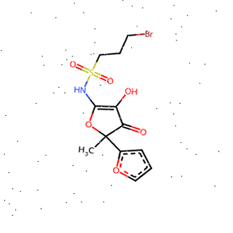 CC1(c2ccco2)OC(NS(=O)(=O)CCCBr)=C(O)C1=O